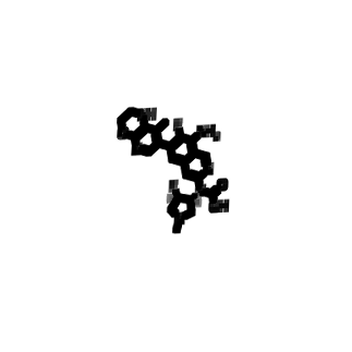 Cc1c(-c2cc3cc(N(C(=O)O)[C@@H]4CN(C)C[C@H]4F)ncc3c(N)c2F)cnc2c1NCCO2